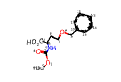 CC(C)(C)OC(=O)N[C@H](CCOCc1ccccc1)C(=O)O